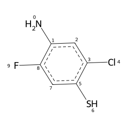 Nc1cc(Cl)c(S)cc1F